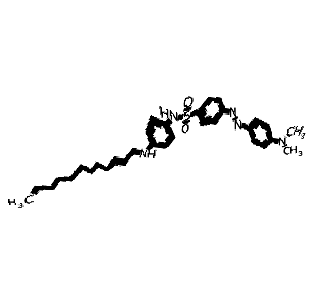 CCCCCCCCCCCCNc1ccc(NS(=O)(=O)c2ccc(N=Nc3ccc(N(C)C)cc3)cc2)cc1